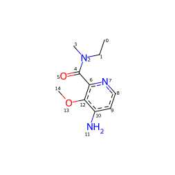 CCN(C)C(=O)c1nccc(N)c1OC